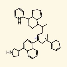 CC(C/C=C(\CNC1=CC=CCC1)C1=CC=C(C2CCNC2)C2C=CC=CC12)C1CCC(C2C=CC=CN2)C2CCC=CC12